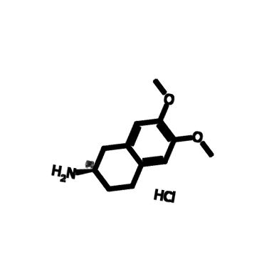 COc1cc2c(cc1OC)C[C@H](N)CC2.Cl